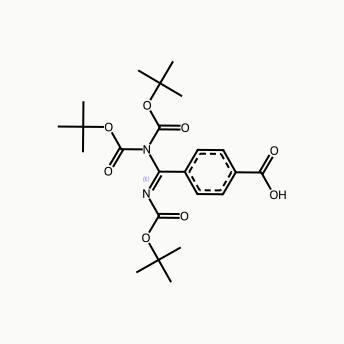 CC(C)(C)OC(=O)/N=C(\c1ccc(C(=O)O)cc1)N(C(=O)OC(C)(C)C)C(=O)OC(C)(C)C